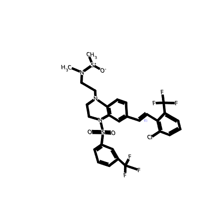 CN(CCN1CCN(S(=O)(=O)c2cccc(C(F)(F)F)c2)c2cc(/C=C/c3c(Cl)cccc3C(F)(F)F)ccc21)[S+](C)[O-]